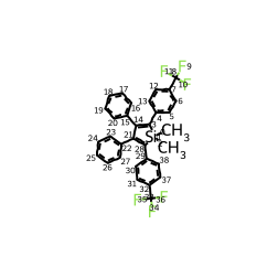 C[Si]1(C)C(c2ccc(C(F)(F)F)cc2)=C(c2ccccc2)C(c2ccccc2)=C1c1ccc(C(F)(F)F)cc1